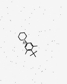 Cc1cc([SH]2CCCCC2)cc(C)c1C(C)(C)C